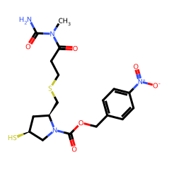 CN(C(N)=O)C(=O)CCSC[C@@H]1C[C@H](S)CN1C(=O)OCc1ccc([N+](=O)[O-])cc1